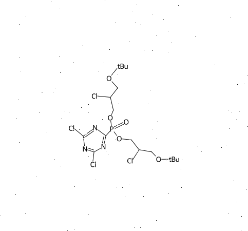 CC(C)(C)OCC(Cl)COP(=O)(OCC(Cl)COC(C)(C)C)c1nc(Cl)nc(Cl)n1